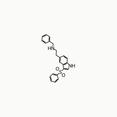 O=S(=O)(c1ccccc1)c1c[nH]c2ccc(CCNCc3ccccc3)cc12